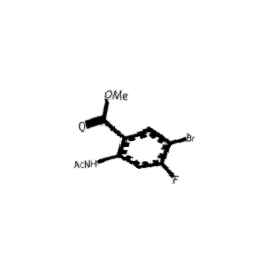 COC(=O)c1cc(Br)c(F)cc1NC(C)=O